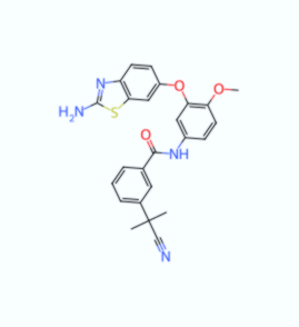 COc1ccc(NC(=O)c2cccc(C(C)(C)C#N)c2)cc1Oc1ccc2nc(N)sc2c1